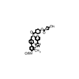 COc1ccc(C23CCC(CN(C(=O)C4CCC(OC(=O)N5CC(O)C5)CC4)c4cc(-c5nnn(C(C)C)n5)ccn4)(CC2)CC3)cc1C